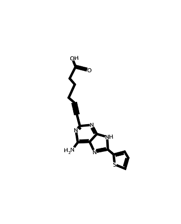 Nc1nc(C#CCCCC(=O)O)nc2[nH]c(-c3cccs3)nc12